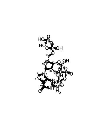 Nc1nc2c(ncn2[C@@H]2O[C@H](COP(=O)(O)OP(=O)(O)O)[C@@H](OP(=O)(O)OP(=O)(O)OP(=O)(O)O)[C@H]2O)c(=O)[nH]1